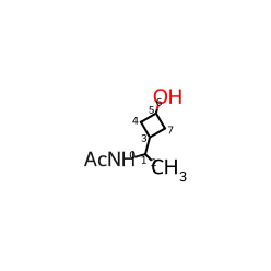 CC(=O)NC(C)C1CC(O)C1